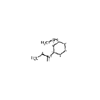 CCNC1CCCCC1.C[SiH3]